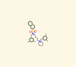 Cc1cc(C)cc(CN(CCCC[N+]2(Cc3cc(C)cc(C)c3)CCCCC2)S(=O)(=O)c2ccc3ccccc3c2)c1